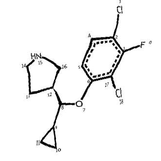 Fc1c(Cl)ccc(OC(C2CC2)[C@H]2CCNC2)c1Cl